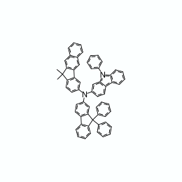 CC1(C)c2ccc(N(c3ccc4c(c3)C(c3ccccc3)(c3ccccc3)c3ccccc3-4)c3ccc4c5ccccc5n(-c5ccccc5)c4c3)cc2-c2cc3ccccc3cc21